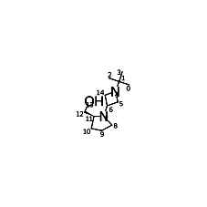 CC(C)(C)N1CC(N2CCC[C@H]2CO)C1